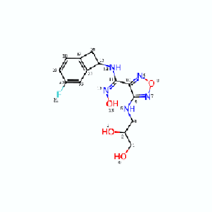 OCC(O)CNc1nonc1C(=NO)NC1Cc2ccc(F)cc21